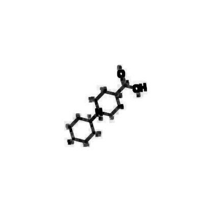 O=C(O)C1CCN(C2CCCCC2)CC1